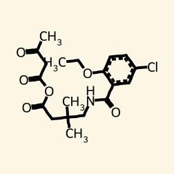 CCOc1ccc(Cl)cc1C(=O)NCC(C)(C)CC(=O)OC(=O)CC(C)=O